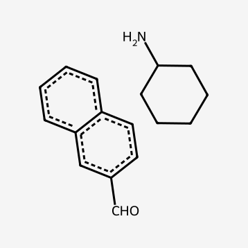 NC1CCCCC1.O=Cc1ccc2ccccc2c1